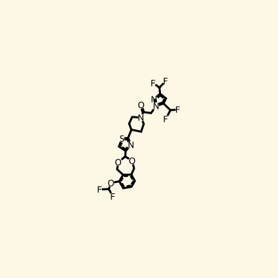 O=C(Cn1nc(C(F)F)cc1C(F)F)N1CCC(c2nc(C3OCc4cccc(OC(F)F)c4CO3)cs2)CC1